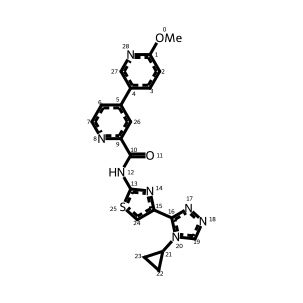 COc1ccc(-c2ccnc(C(=O)Nc3nc(-c4nncn4C4CC4)cs3)c2)cn1